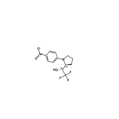 O=[N+]([O-])c1ccc(N2CCC[C@H]2[C@@H](O)C(F)(F)F)cc1